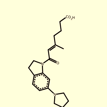 C/C(=C\C(=O)N1CCc2ccc(N3CCCC3)cc21)CCCC(=O)O